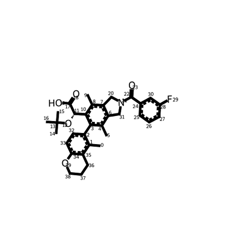 Cc1c(-c2c(C)c3c(c(C)c2[C@H](OC(C)(C)C)C(=O)O)CN(C(=O)c2cccc(F)c2)C3)ccc2c1CCCO2